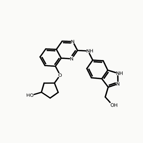 OCc1n[nH]c2cc(Nc3ncc4cccc(OC5CCC(O)C5)c4n3)ccc12